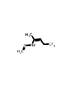 C=NN/C(C)=C\CC(F)(F)F